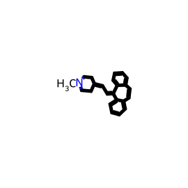 CN1CCC(=CC=C2c3ccccc3C=Cc3ccccc32)CC1